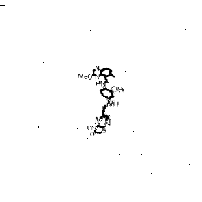 COc1cnc2ccc(C)c(CN[C@@H]3CC[C@@H](NCc4cnc5c(n4)NC(=O)CS5)C[C@@H]3O)c2n1